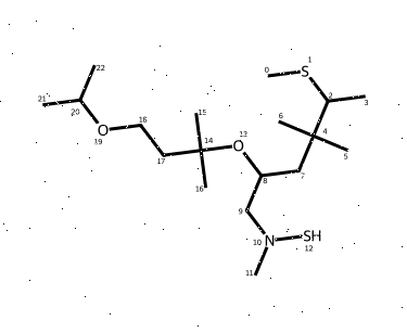 CSC(C)C(C)(C)CC(CN(C)S)OC(C)(C)CCOC(C)C